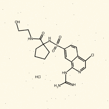 Cl.N=C(N)Nc1ncc(Cl)c2ccc(S(=O)(=O)NC3(C(=O)NCCO)CCCC3)cc12